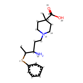 CC(Sc1ccccc1)C(N)CCN1CCC(C)(C(=O)O)CC1